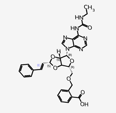 CCNC(=O)Nc1ncnc2c1ncn2[C@@H]1O[C@H](COCc2ccccc2C(=O)O)C2O[C@H](/C=C/c3ccccc3)O[C@@H]21